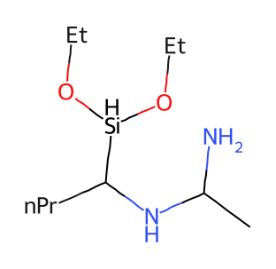 CCCC(NC(C)N)[SiH](OCC)OCC